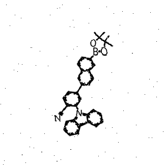 CC1(C)OB(c2ccc3cc(-c4ccc(C#N)c(-n5c6ccccc6c6ccccc65)c4)ccc3c2)OC1(C)C